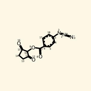 [N-]=[N+]=Nc1ccc(C(=O)OC2C(=O)CCC2=O)cc1